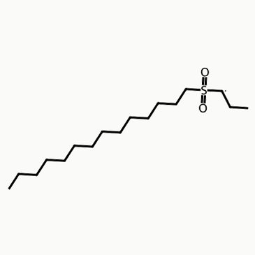 CC[CH]S(=O)(=O)CCCCCCCCCCCCCC